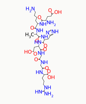 CC(NC(=O)C(CCCCN)NC(=O)C(N)CCC(=O)O)C(=O)NC(Cc1c[nH]cn1)C(=O)NC(CC(=O)O)C(=O)NCC(=O)NCC(=O)NC(CCCNC(=N)N)C(=O)O